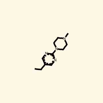 CCc1cnc(N2CCN(C)CC2)nc1